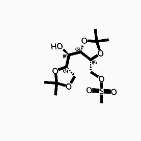 CC1(C)OC[C@@H]([C@@H](O)[C@@H]2OC(C)(C)O[C@@H]2COS(C)(=O)=O)O1